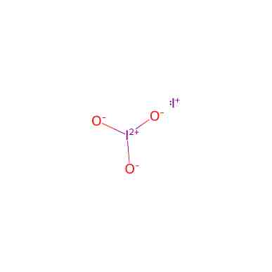 [I+].[O-][I+2]([O-])[O-]